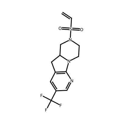 C=CS(=O)(=O)N1CCN2c3ncc(C(F)(F)F)cc3CC2C1